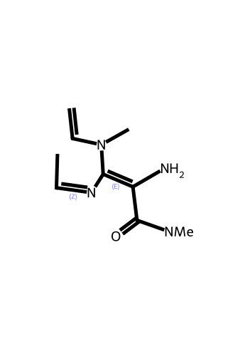 C=CN(C)C(/N=C\C)=C(\N)C(=O)NC